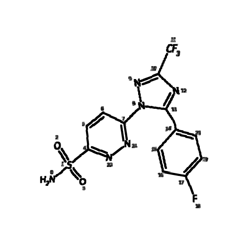 NS(=O)(=O)c1ccc(-n2nc(C(F)(F)F)nc2-c2ccc(F)cc2)nn1